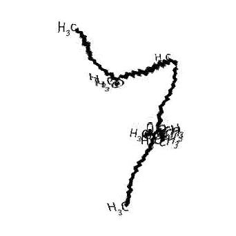 CCCCCCCCCCCCCCCCCCCCCCCC[C@@H](C(=O)OC)[C@@H](CCCCCCCCCCCCCCCCCC[C@H]1C[C@@H]1[C@@H](C)CCCCCCCCCCCCCCCC[C@@H](OC)[C@@H](C)CCCCCCCCCCCCCCCCCC)O[Si](C)(C)C(C)(C)C